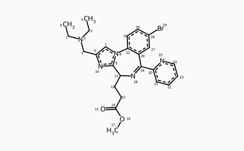 CCN(CC)Cc1cn2c(n1)C(CCC(=O)OC)N=C(c1ccccn1)c1cc(Br)ccc1-2